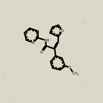 COc1cccc(C(=Cc2ccco2)C(=O)Nc2ccccn2)c1